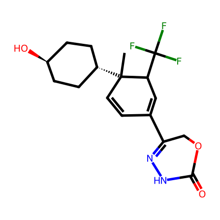 CC1([C@H]2CC[C@H](O)CC2)C=CC(C2=NNC(=O)OC2)=CC1C(F)(F)F